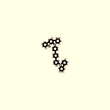 c1cc(-c2ccc(-c3ccc(-n4c5ccccc5c5ccc6c7ccccc7sc6c54)cc3)cc2)cc(-n2c3ccccc3c3ccccc32)c1